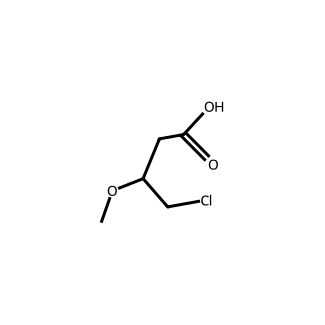 COC(CCl)CC(=O)O